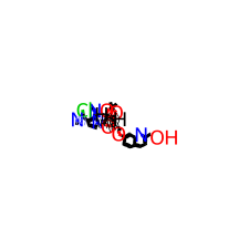 C=Nc1c(/C(Cl)=N\C)ccn1[C@@H]1O[C@H](COc2ccc3ccc(CO)nc3c2)[C@H]2OC(C)(C)O[C@H]21